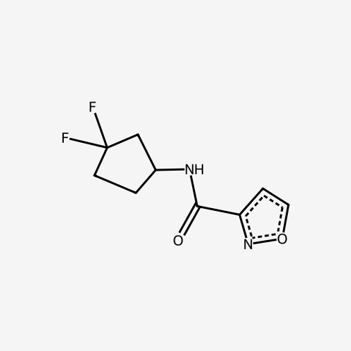 O=C(NC1CCC(F)(F)C1)c1ccon1